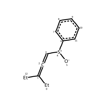 CCC(=C=C[S+]([O-])c1ccccc1)CC